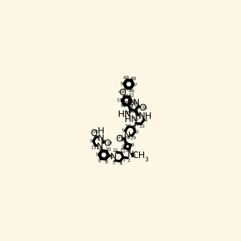 CN(CC1CCN(c2cccc(N3CCC(=O)NC3=O)c2)CC1)C1CC(C(=O)N2CCC([C@@H]3CCN/C(=C(/C(=N)c4ccc(Oc5ccccc5)cc4)C(N)=O)N3)CC2)C1